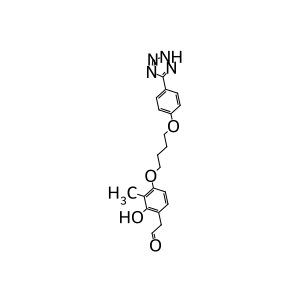 Cc1c(OCCCCOc2ccc(-c3nn[nH]n3)cc2)ccc(CC=O)c1O